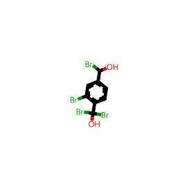 OC(Br)c1ccc(C(O)(Br)Br)c(Br)c1